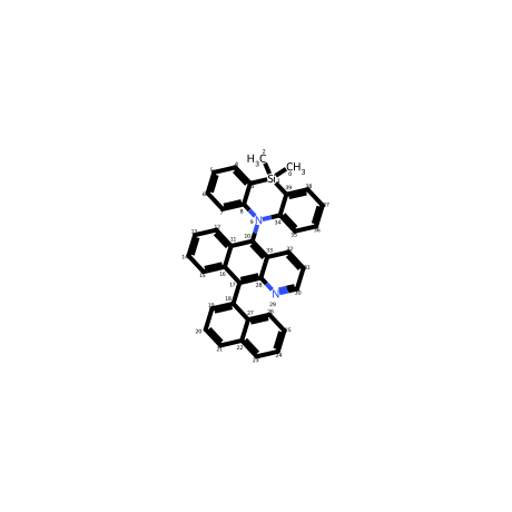 C[Si]1(C)c2ccccc2N(c2c3ccccc3c(-c3cccc4ccccc34)c3ncccc23)c2ccccc21